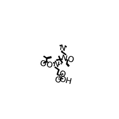 C=C(C)C(=O)[O-].C=CC(=O)N(CCN(C)C)C(C)(C)C[N+](C)(C)CCCS(=O)(=O)O